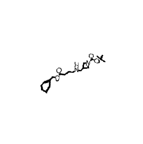 CC(C)(C)OC(=O)N1CC(CNCCCC(=O)OCc2ccccc2)C1